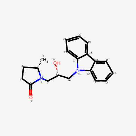 C[C@H]1CCC(=O)N1C[C@H](O)Cn1c2ccccc2c2ccccc21